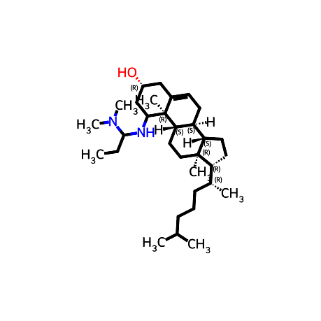 CC[C](NC1C[C@H](O)CC2=CC[C@H]3[C@@H]4CC[C@H]([C@H](C)CCCC(C)C)[C@@]4(C)CC[C@@H]3[C@]21C)N(C)C